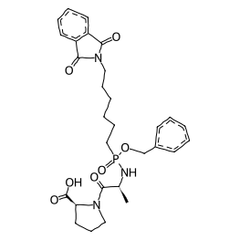 C[C@H](NP(=O)(CCCCCCN1C(=O)c2ccccc2C1=O)OCc1ccccc1)C(=O)N1CCC[C@H]1C(=O)O